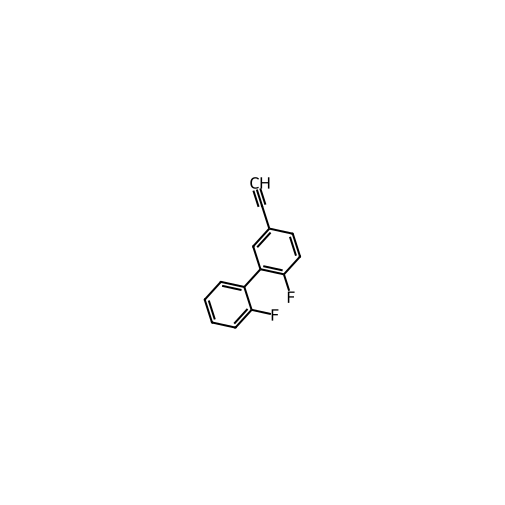 C#Cc1ccc(F)c(-c2ccccc2F)c1